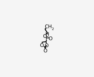 C=CCO[PH](=O)C1COC(=O)O1